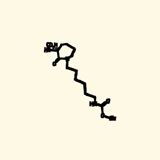 CC(C)(C)OC(=O)NCCCCCCN1CCCC[C@H](NC(=O)O)C1=O